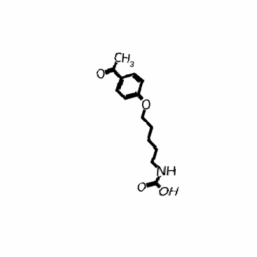 CC(=O)c1ccc(OCCCCCNC(=O)O)cc1